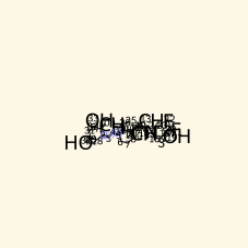 C=C1/C(=C\C=C2/CCC[C@]3(C)[C@@H]([C@H](C)CN4CCC(O)(C(F)F)CC4)CC[C@@H]23)C[C@@H](O)C[C@@H]1O